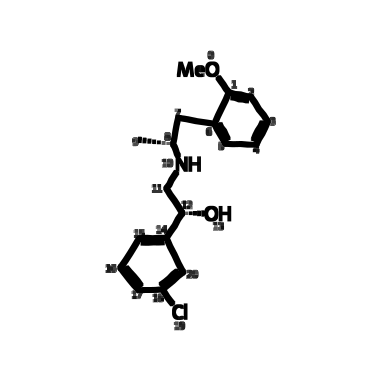 COc1ccccc1C[C@@H](C)NC[C@H](O)c1cccc(Cl)c1